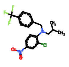 CC(C)CN(Cc1ccc(C(F)(F)F)cc1)c1ccc([N+](=O)[O-])cc1Cl